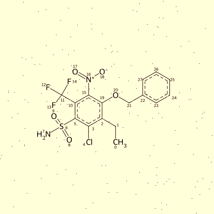 CCc1c(Cl)c(S(N)(=O)=O)c(C(F)(F)F)c([N+](=O)[O-])c1OCc1ccccc1